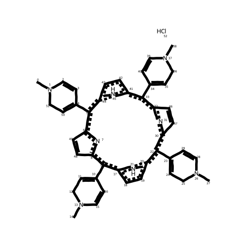 CN1C=CC(c2c3nc(c(C4=CCN(C)C=C4)c4ccc([nH]4)c(C4=CCN(C)C=C4)c4nc(c(C5=CCN(C)C=C5)c5ccc2[nH]5)C=C4)C=C3)=CC1.Cl